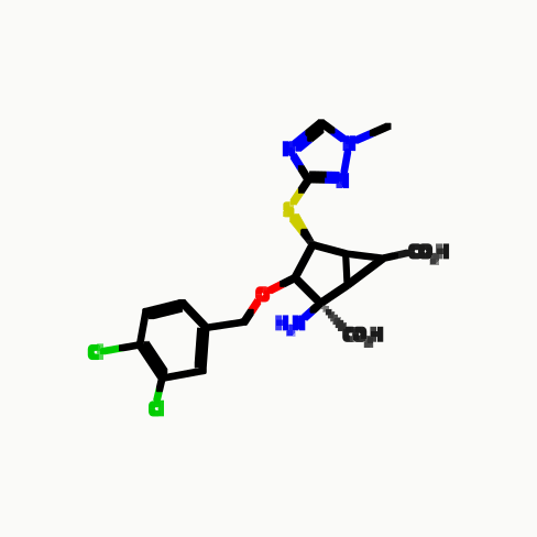 Cn1cnc(S[C@H]2C3C(C(=O)O)C3[C@](N)(C(=O)O)C2OCc2ccc(Cl)c(Cl)c2)n1